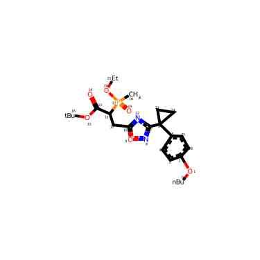 CCCCOc1ccc(C2(c3noc(CC(C(=O)OC(C)(C)C)P(C)(=O)OCC)n3)CC2)cc1